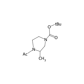 CC(=O)N1CCN(C(=O)OC(C)(C)C)CC1C